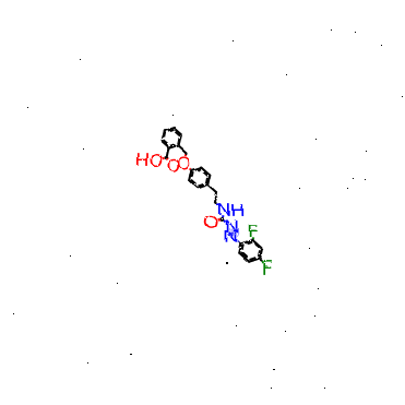 O=C(/N=N/c1ccc(F)cc1F)NCCc1ccc(OCc2ccccc2C(=O)O)cc1